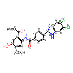 COC(=O)c1cc(O)c(C(=O)O)cc1NC(=O)c1ccc(-c2nc3cc(Cl)c(Cl)cc3[nH]2)cc1